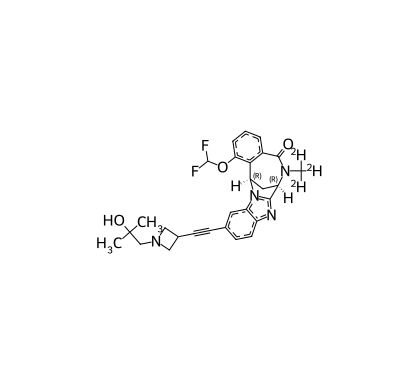 [2H]C([2H])([2H])N1C(=O)c2cccc(OC(F)F)c2[C@H]2C[C@@H]1c1nc3ccc(C#CC4CN(CC(C)(C)O)C4)cc3n12